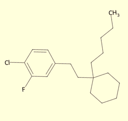 CCCCCC1(CCc2ccc(Cl)c(F)c2)CCCCC1